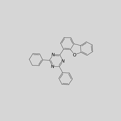 C1=CC(c2nc(-c3ccccc3)nc(-c3cccc4c3oc3ccccc34)n2)=CCC1